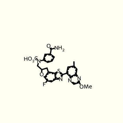 COc1cnc2c(-c3nc4cc(F)c5c(c4s3)CC(CN(C(=O)O)c3cccc(C(N)=O)c3)O5)cc(C)cc2n1